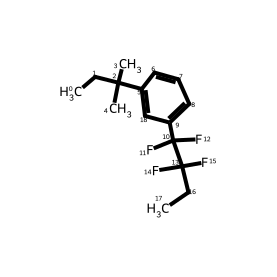 CCC(C)(C)c1cccc(C(F)(F)C(F)(F)CC)c1